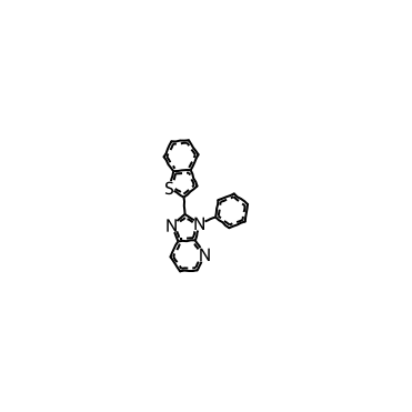 c1ccc(-n2c(-c3cc4ccccc4s3)nc3cccnc32)cc1